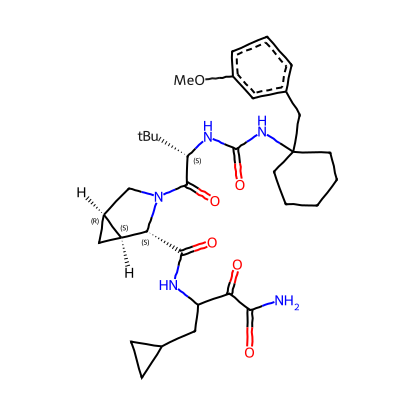 COc1cccc(CC2(NC(=O)N[C@H](C(=O)N3C[C@@H]4C[C@@H]4[C@H]3C(=O)NC(CC3CC3)C(=O)C(N)=O)C(C)(C)C)CCCCC2)c1